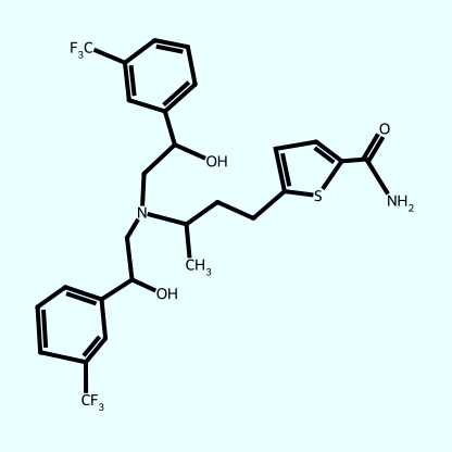 CC(CCc1ccc(C(N)=O)s1)N(CC(O)c1cccc(C(F)(F)F)c1)CC(O)c1cccc(C(F)(F)F)c1